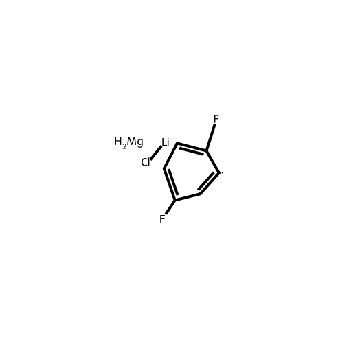 Fc1[c]cc(F)cc1.[Li][Cl].[MgH2]